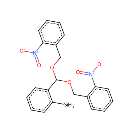 O=[N+]([O-])c1ccccc1COC(OCc1ccccc1[N+](=O)[O-])c1ccccc1[SiH3]